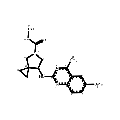 COc1ccc2nc(NC3CN(C(=O)OC(C)(C)C)CC34CC4)nc(C)c2c1